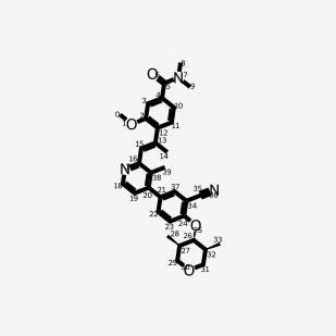 COc1cc(C(=O)N(C)C)ccc1/C(C)=C/c1nccc(-c2ccc(O[C@H]3[C@H](C)COC[C@@H]3C)c(C#N)c2)c1C